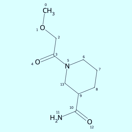 COCC(=O)N1CCCC(C(N)=O)C1